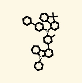 Cc1cc(-c2cccc3c2c2ccccc2n3-c2ccccc2)ccc1N(c1ccc(-c2ccccc2)cc1)c1cccc2c1-c1ccccc1C2(C)C